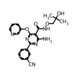 CC(C)(O)CONC(=O)c1c(N)nc(-c2cccc(C#N)c2)nc1Oc1cccnc1